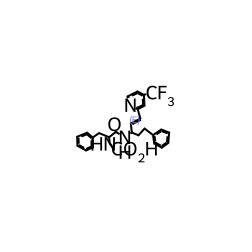 O=C(O)NC(Cc1ccccc1)C(=O)NC(/C=C/c1cc(C(F)(F)F)ccn1)CCc1ccccc1